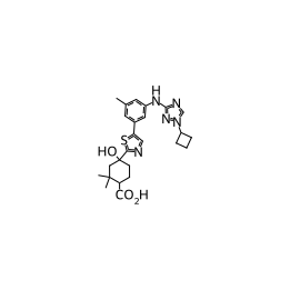 Cc1cc(Nc2ncn(C3CCC3)n2)cc(-c2cnc(C3(O)CCC(C(=O)O)C(C)(C)C3)s2)c1